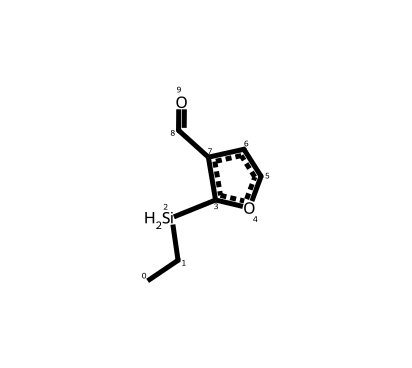 CC[SiH2]c1occc1C=O